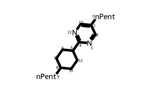 CCCCCc1cnc(C2CCC(CCCCC)CC2)nc1